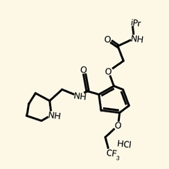 CC(C)NC(=O)COc1ccc(OCC(F)(F)F)cc1C(=O)NCC1CCCCN1.Cl